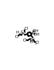 C[N+](CCCl)(CCCl)Cc1ccc(B(O)O)c(C[N+](C)(CCCl)CCCl)c1